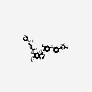 CCOc1cc2ncnc(Nc3ccc(Oc4cccc(-c5nnc(C)o5)c4)cc3F)c2cc1NC(=O)/C=C/CN[C@@H]1CCOC1